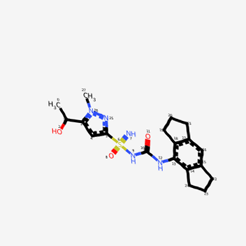 CC(O)c1cc(S(=N)(=O)NC(=O)Nc2c3c(cc4c2CCC4)CCC3)nn1C